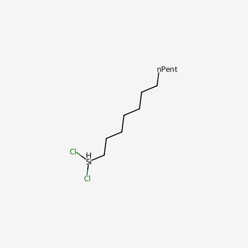 CCCCCCCCCCCC[SiH](Cl)Cl